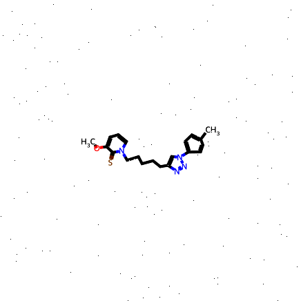 COc1cccn(CCCCCc2cn(-c3ccc(C)cc3)nn2)c1=S